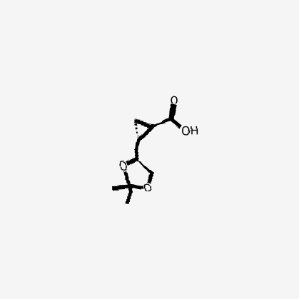 CC1(C)OC[C@H]([C@@H]2C[C@H]2C(=O)O)O1